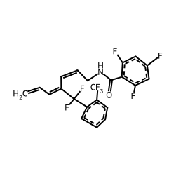 C=C/C=C(\C=C/CNC(=O)c1c(F)cc(F)cc1F)C(F)(F)c1ccccc1C(F)(F)F